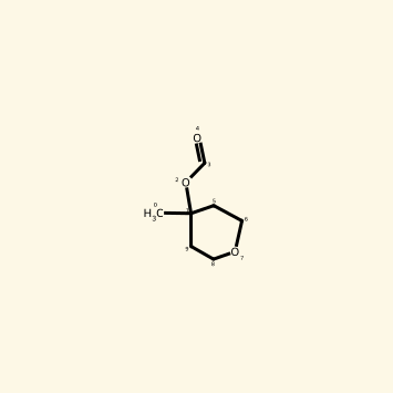 CC1(OC=O)CCOCC1